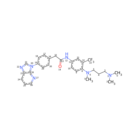 CN(C)CCCN(C)c1ccc(NC(=O)Cc2ccc(-n3cnc4cccnc43)cc2)cc1C(F)(F)F